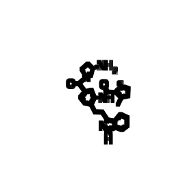 Cc1ccsc1C(=O)Nc1cc(C(=O)N2CC[C@@H](N)C2)ccc1/C=C/c1n[nH]c2ccccc12